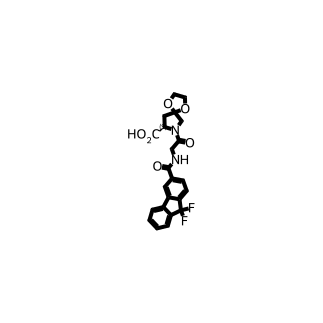 O=C(NCC(=O)N1CC2(C[C@H]1C(=O)O)OCCO2)c1ccc2c(c1)-c1ccccc1C2(F)F